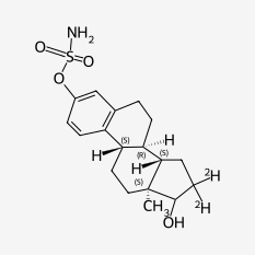 [2H]C1([2H])C[C@H]2[C@@H]3CCc4cc(OS(N)(=O)=O)ccc4[C@H]3CC[C@]2(C)C1O